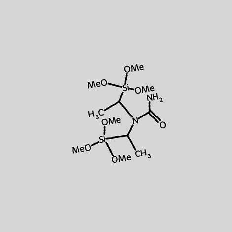 CO[Si](OC)(OC)C(C)N(C(N)=O)C(C)[Si](OC)(OC)OC